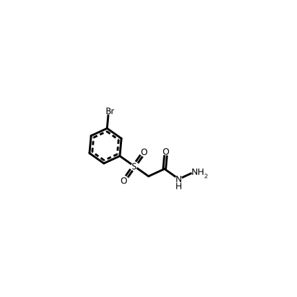 NNC(=O)CS(=O)(=O)c1cccc(Br)c1